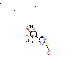 COc1ccc(-c2cnc(SCC=O)nc2)cc1OC